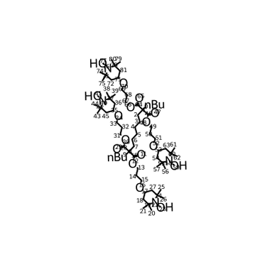 CCCCC(CCCCCCC(CCCC)(C(=O)OCCCOC1CC(C)(C)N(O)C(C)(C)C1)C(=O)OCCCOC1CC(C)(C)N(O)C(C)(C)C1)(C(=O)OCCCOC1CC(C)(C)N(O)C(C)(C)C1)C(=O)OCCCOC1CC(C)(C)N(O)C(C)(C)C1